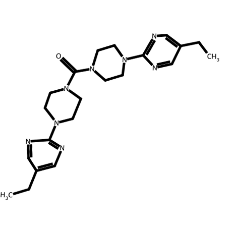 CCc1cnc(N2CCN(C(=O)N3CCN(c4ncc(CC)cn4)CC3)CC2)nc1